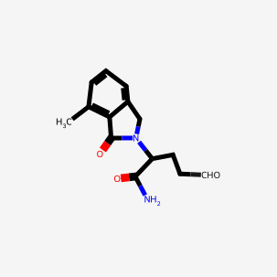 Cc1cccc2c1C(=O)N(C(CCC=O)C(N)=O)C2